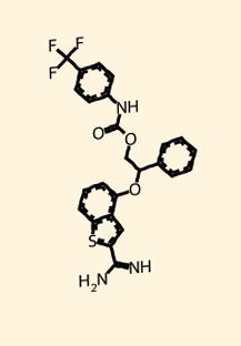 N=C(N)c1cc2c(OC(COC(=O)Nc3ccc(C(F)(F)F)cc3)c3ccccc3)cccc2s1